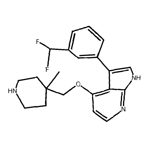 CC1(COc2ccnc3[nH]cc(-c4cccc(C(F)F)c4)c23)CCNCC1